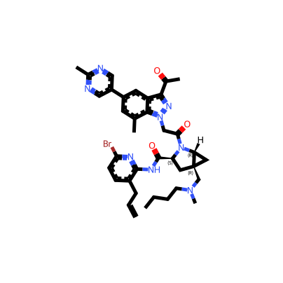 C=CCc1ccc(Br)nc1NC(=O)[C@@H]1C[C@@]2(CN(C)CCCC)C[C@H]2N1C(=O)Cn1nc(C(C)=O)c2cc(-c3cnc(C)nc3)cc(C)c21